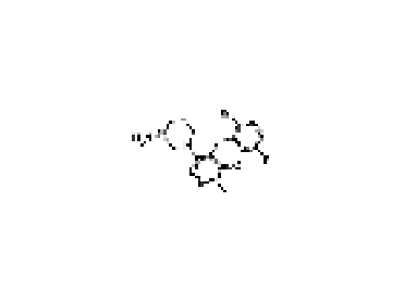 Cc1nnc(N2CCC[C@@H](N)C2)n(Cc2cc(F)ccc2Br)c1=O